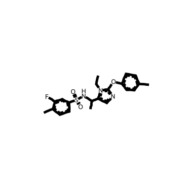 CCn1c(C(C)NS(=O)(=O)c2ccc(C)c(F)c2)cnc1Oc1ccc(C)cc1